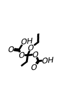 CCOC(CC)(OC(=O)O)OC(=O)O